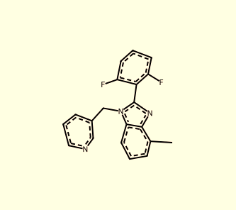 Cc1cccc2c1nc(-c1c(F)cccc1F)n2Cc1cccnc1